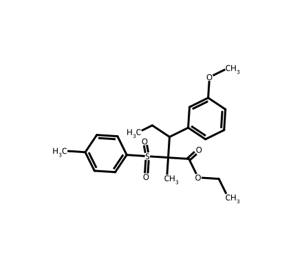 CCOC(=O)C(C)(C(CC)c1cccc(OC)c1)S(=O)(=O)c1ccc(C)cc1